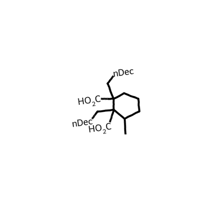 CCCCCCCCCCCC1(C(=O)O)CCCC(C)C1(CCCCCCCCCCC)C(=O)O